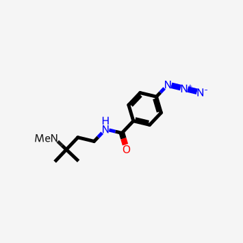 CNC(C)(C)CCNC(=O)c1ccc(N=[N+]=[N-])cc1